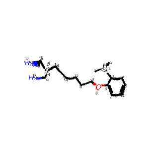 C[SiH](C)c1ccccc1OCCCCC[SiH](C=N)C=N